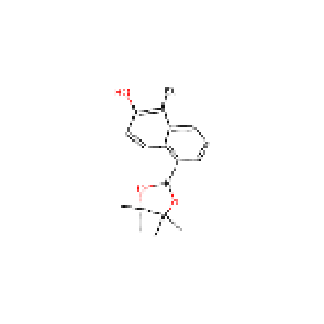 CCc1c(O)ccc2c(B3OC(C)(C)C(C)(C)O3)cccc12